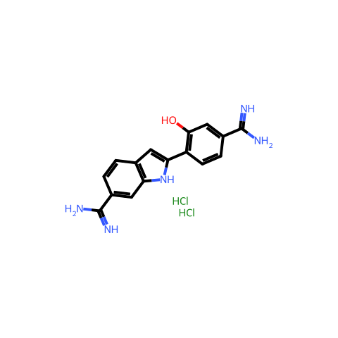 Cl.Cl.N=C(N)c1ccc(-c2cc3ccc(C(=N)N)cc3[nH]2)c(O)c1